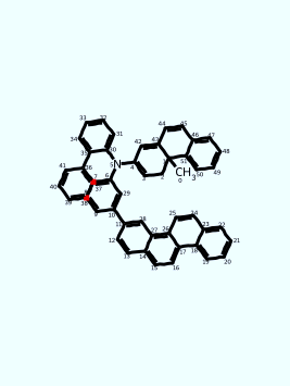 CC12CC=C(N(c3cccc(-c4ccc5ccc6c7ccccc7ccc6c5c4)c3)c3ccccc3-c3ccccc3)C=C1C=Cc1ccccc12